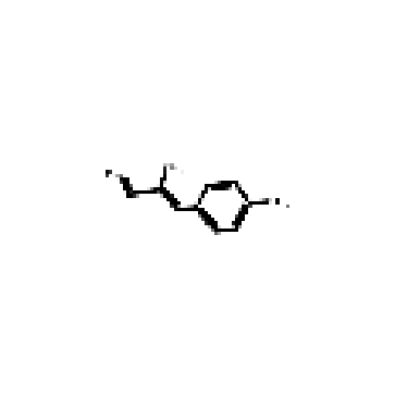 C=C/C(C)=C/c1ccc(C)cc1